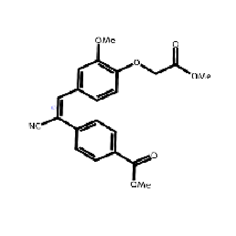 COC(=O)COc1ccc(/C=C(/C#N)c2ccc(C(=O)OC)cc2)cc1OC